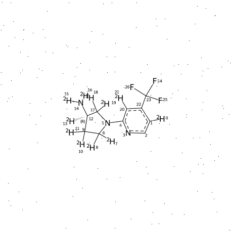 [2H]c1cnc(N2C([2H])([2H])C([2H])([2H])[C@@]([2H])(N([2H])[2H])C2([2H])[2H])c([2H])c1C(F)(F)F